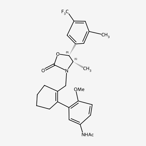 COc1ccc(NC(C)=O)cc1C1=C(CN2C(=O)O[C@H](c3cc(C)cc(C(F)(F)F)c3)[C@@H]2C)CCCC1